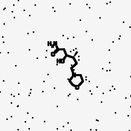 C[C@H](CCN1CCOCC1)[C@@H](O)CC(N)=O